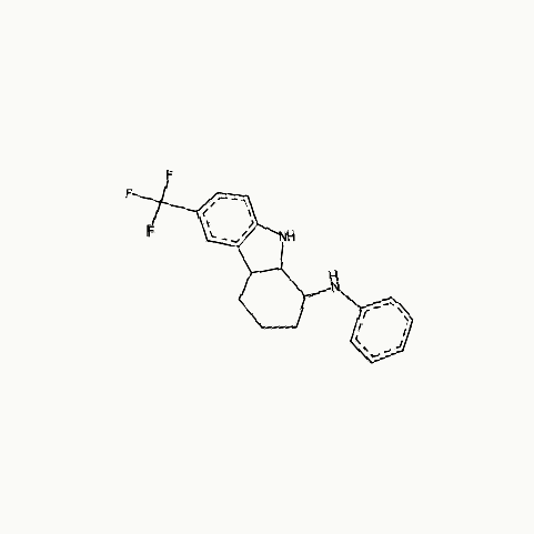 FC(F)(F)c1ccc2c(c1)C1CCCC(Nc3ccccc3)C1N2